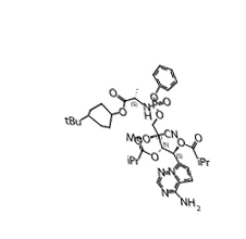 CO[C@](C#N)(COP(=O)(N[C@@H](C)C(=O)OC1CCC(C(C)(C)C)CC1)Oc1ccccc1)[C@@H](OC(=O)C(C)C)[C@@H](OC(=O)C(C)C)c1ccc2c(N)ncnn12